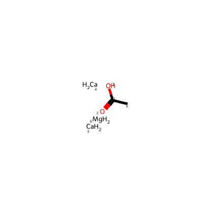 CC(=O)O.[CaH2].[CaH2].[MgH2]